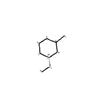 CC[C@@H]1CCCC(C)C1